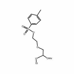 CCOC(COCCOS(=O)(=O)c1ccc(C)cc1)OC